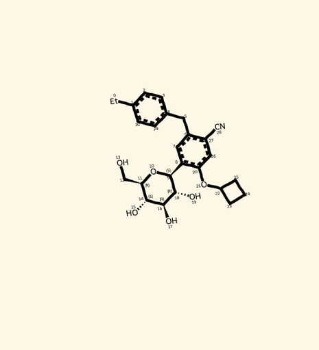 CCc1ccc(Cc2cc([C@@H]3O[C@H](CO)[C@@H](O)[C@H](O)[C@H]3O)c(OC3CCC3)cc2C#N)cc1